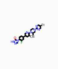 CCc1cnc(N2CCN(c3ncc(-c4ccc(-n5cn[nH]c5=O)c(F)c4)cc3C#N)C(C)C2)nc1